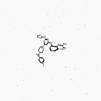 C[C@H](c1ccc(F)cc1)N1CCN(c2cc(Oc3cccc4[nH]c(=O)c(N)nc34)nc(N(C)[C@H]3CCCO3)n2)CC1